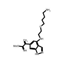 C=C(C(=N)OC)c1cc(NCCOCCCCN)c2cn[nH]c2c1